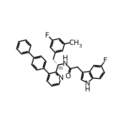 Cc1cc(F)cc(C[C@H](NC(=O)Cc2c[nH]c3ccc(F)cc23)c2ncccc2-c2ccc(-c3ccccc3)cc2)c1